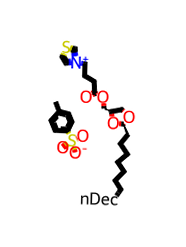 CCCCCCCCCCCCCCCCC[C@@H]1OC[C@@H](COC(=O)CCC[n+]2ccsc2)O1.Cc1ccc(S(=O)(=O)[O-])cc1